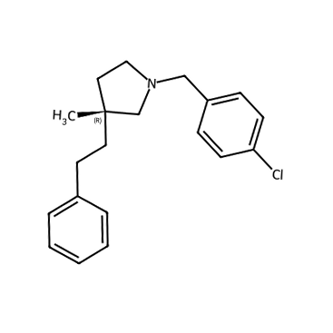 C[C@@]1(CCc2ccccc2)CCN(Cc2ccc(Cl)cc2)C1